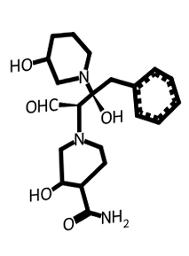 NC(=O)C1CCN([C@@H](C=O)[C@@](O)(Cc2ccccc2)N2CCCC(O)C2)CC1O